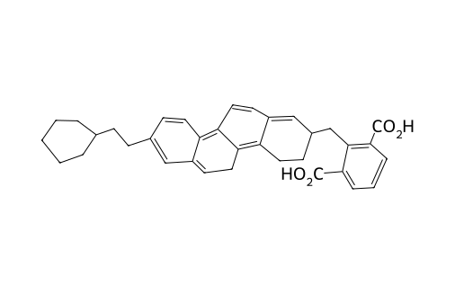 O=C(O)c1cccc(C(=O)O)c1CC1C=c2ccc3c(c2CC1)CC=c1cc(CCC2CCCCC2)ccc1=3